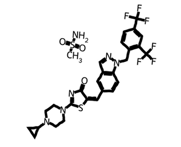 CS(N)(=O)=O.O=C1N=C(N2CCN(C3CC3)CC2)SC1=Cc1ccc2c(cnn2Cc2ccc(C(F)(F)F)cc2C(F)(F)F)c1